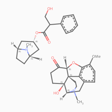 CN1[C@@H]2CC[C@H]1C[C@@H](OC(=O)C(CO)c1ccccc1)C2.COc1ccc2c3c1O[C@H]1C(=O)CC[C@@]4(O)[C@@H](C2)N(C)CC[C@]314